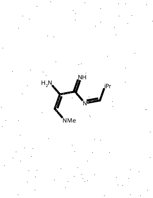 CN/C=C(/N)C(=N)/N=C\C(C)C